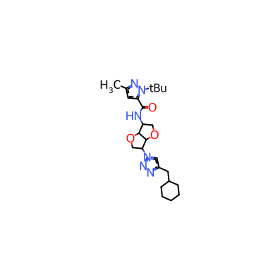 Cc1cc(C(=O)NC2COC3C2OCC3n2cc(CC3CCCCC3)nn2)n(C(C)(C)C)n1